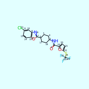 O=C(NC1CCC(c2nc3cc(Cl)ccc3o2)CC1)c1ccc(SC(F)(F)F)o1